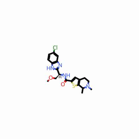 COC[C@H](NC(=O)c1cc2c(s1)C(C)N(C)CC2)c1nc2cc(Cl)ccc2[nH]1